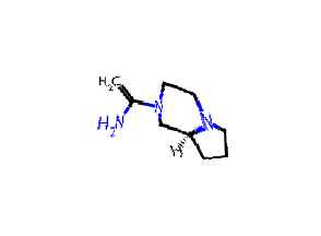 C=C(N)N1CCN2CCC[C@H]2C1